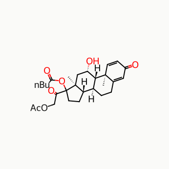 CCCCC(=O)OC1(C(=O)COC(C)=O)CC[C@H]2[C@@H]3CCC4=CC(=O)C=C[C@]4(C)[C@H]3[C@@H](O)C[C@@]21C